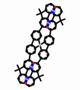 CC1(C)c2cccnc2-c2ncc(-c3ccc4c(c3)[Si]3(c5cc(-c6cnc7c(c6)C(C)(C)c6cccnc6-7)ccc5-4)c4cc(-c5cnc6c(c5)C(C)(C)c5cccnc5-6)ccc4-c4ccc(-c5cnc6c(c5)C(C)(C)c5cccnc5-6)cc43)cc21